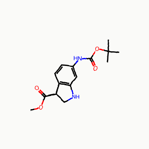 COC(=O)C1CNc2cc(NC(=O)OC(C)(C)C)ccc21